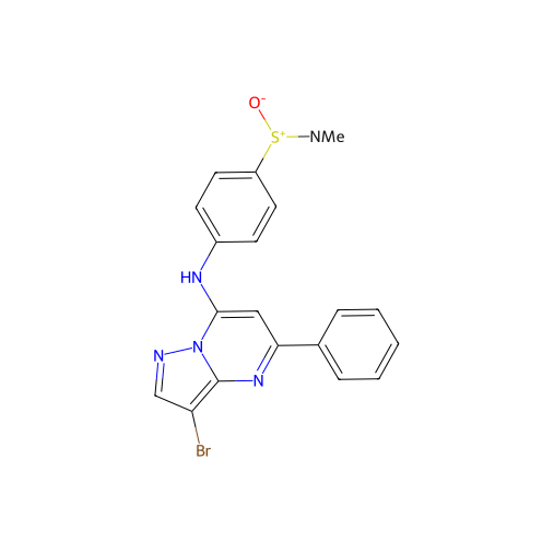 CN[S+]([O-])c1ccc(Nc2cc(-c3ccccc3)nc3c(Br)cnn23)cc1